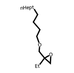 CCCCCCCCCCCOCC1(CC)CO1